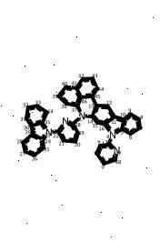 c1ccc(-n2c3ccccc3c3cc4c(cc32)N(c2cccc(-n3c5ccccc5c5ccccc53)n2)c2cccc3cccc-4c23)nc1